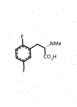 CN[C@@H](Cc1cc(F)ccc1F)C(=O)O